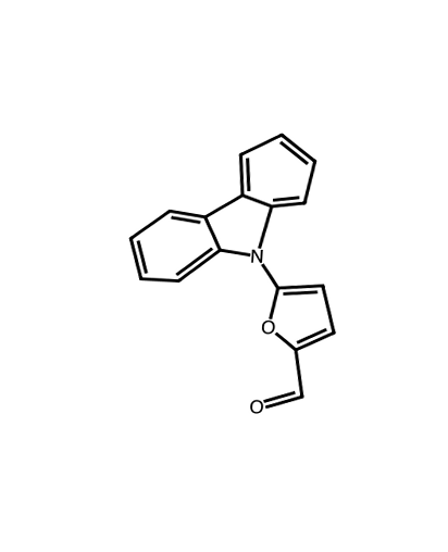 O=Cc1ccc(-n2c3ccccc3c3ccccc32)o1